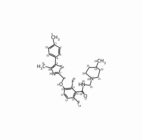 Cc1ccc(-c2sc(COc3ccc(F)c(C(=O)NCN4CCC(C)CC4)c3F)nc2C)cc1